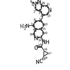 Cn1cc2c(-c3cc(N)c4cnc(NC(=O)C5CC5C#N)cc4c3)cncc2n1